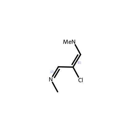 C/N=C\C(Cl)=C/NC